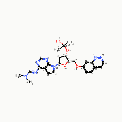 CN(C)/C=N/c1ncnc2c1ccn2[C@H]1C[C@H](OC(C)(C)O)[C@@H](COc2ccc3ccnnc3c2)O1